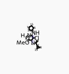 C=C(/N=C(C(=O)OC)\C(Cl)=C(/N)NC1CCCC1)C1CC1